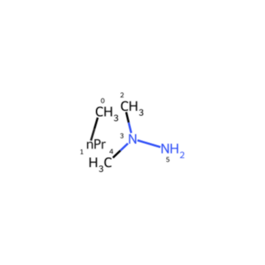 CCCC.CN(C)N